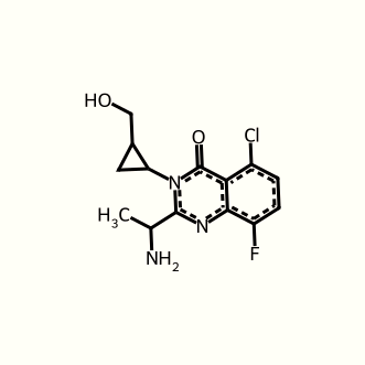 CC(N)c1nc2c(F)ccc(Cl)c2c(=O)n1C1CC1CO